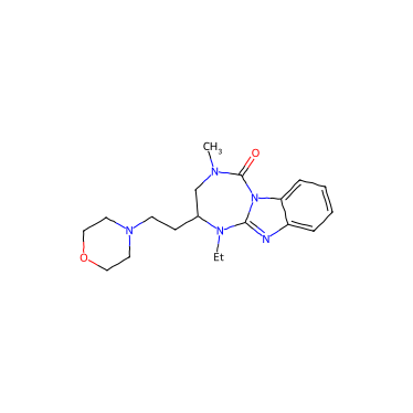 CCN1c2nc3ccccc3n2C(=O)N(C)CC1CCN1CCOCC1